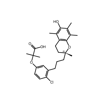 Cc1c(C)c2c(c(C)c1O)CC[C@@](C)(CCCc1cc(OC(C)(C)C(=O)O)ccc1Cl)O2